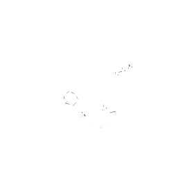 CC[C@@H](O)[C@@]1(C)OC(=O)N(CCCCN=[N+]=[N-])[C@@H]1[C@H](N)Cc1cccc(C)c1